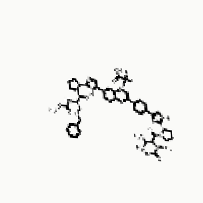 COC(=O)N[C@H](COCc1ccccc1)C(=O)N1CCC[C@H]1c1ncc(-c2ccc3nc(-c4ccc(-c5c[nH]c([C@@H]6CCCN6C(=O)C(C(C)C)N(C)C(=O)O)n5)cc4)cnc3c2)[nH]1.O=C(O)C(F)(F)F